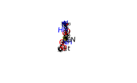 CCOc1ccccc1CCC(=O)Nc1sc2c(c1C#N)CCC(OC(=O)NCc1cn(C)nc1C)C2